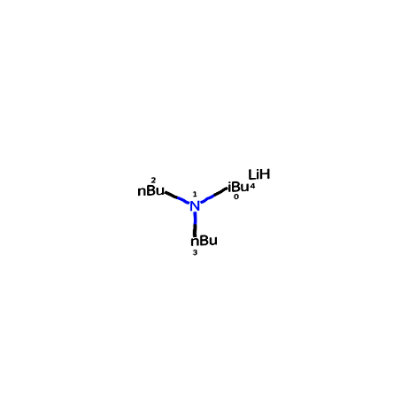 [CH2]CC(C)N(CCCC)CCCC.[LiH]